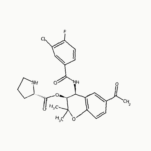 CC(=O)c1ccc2c(c1)[C@H](NC(=O)c1ccc(F)c(Cl)c1)[C@H](OC(=O)[C@@H]1CCCN1)C(C)(C)O2